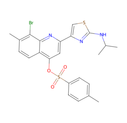 Cc1ccc(S(=O)(=O)Oc2cc(-c3csc(NC(C)C)n3)nc3c(Br)c(C)ccc23)cc1